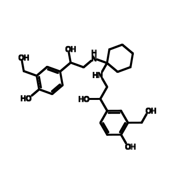 OCc1cc(C(O)CNC2(NCC(O)c3ccc(O)c(CO)c3)CCCCC2)ccc1O